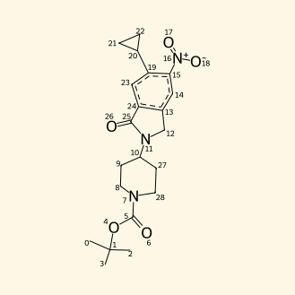 CC(C)(C)OC(=O)N1CCC(N2Cc3cc([N+](=O)[O-])c(C4CC4)cc3C2=O)CC1